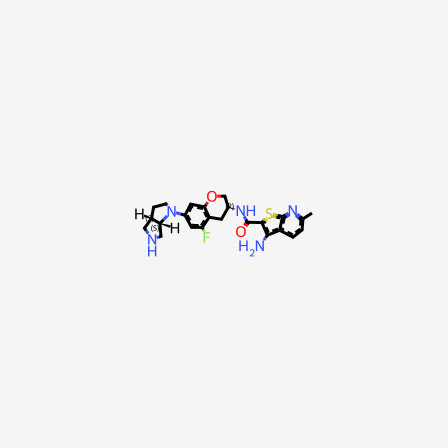 Cc1ccc2c(N)c(C(=O)N[C@H]3COc4cc(N5CC[C@H]6CNC[C@H]65)cc(F)c4C3)sc2n1